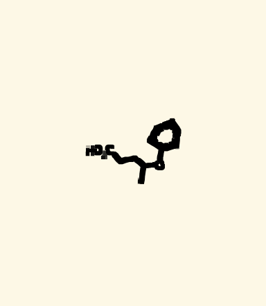 CC(CCC(=O)O)Oc1ccccc1